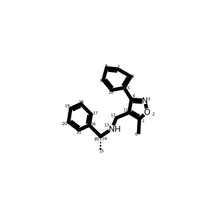 Cc1onc(-c2ccccc2)c1CN[C@H](C)c1ccccc1